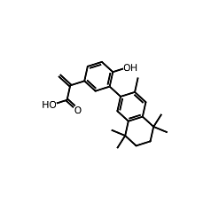 C=C(C(=O)O)c1ccc(O)c(-c2cc3c(cc2C)C(C)(C)CCC3(C)C)c1